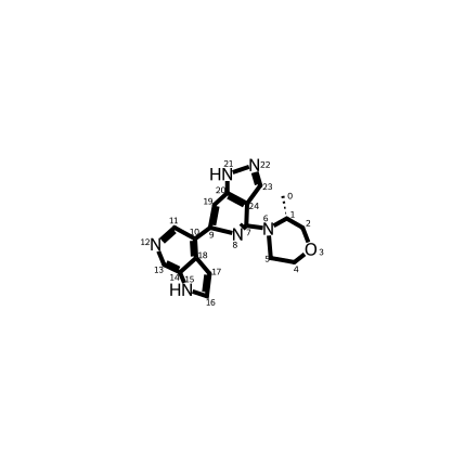 C[C@@H]1COCCN1c1nc(-c2cncc3[nH]ccc23)cc2[nH]ncc12